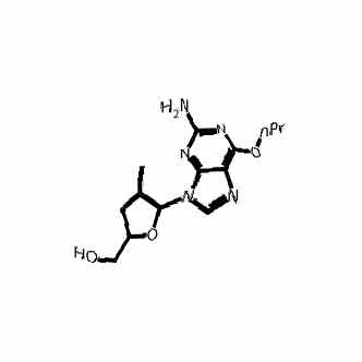 CCCOc1nc(N)nc2c1ncn2C1OC(CO)CC1C